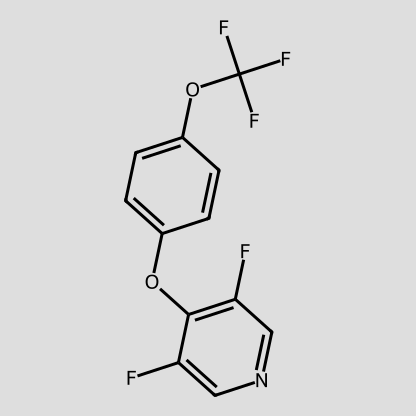 Fc1cncc(F)c1Oc1ccc(OC(F)(F)F)cc1